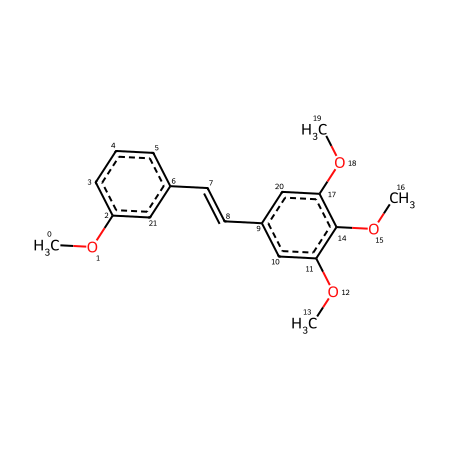 COc1cccc(/C=C/c2cc(OC)c(OC)c(OC)c2)c1